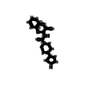 O=C(O)C(NC(=O)N1CCN(C2CCNC2)CC1)Oc1ccccc1